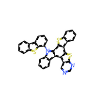 c1ccc2c(c1)sc1c(-n3c4ccccc4c4c5c6cncnc6sc5c5c6ccccc6sc5c43)cccc12